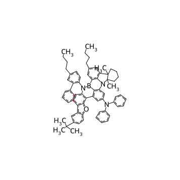 CCCCc1ccc(N2B3c4cc(CCCC)cc5c4N(c4cc(N(c6ccccc6)c6ccccc6)cc(c43)-c3c2ccc2c3oc3ccc(C(C)(C)C)cc32)C2(C)CCCCC52C)c(-c2ccccc2)c1